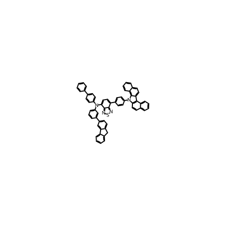 c1ccc(-c2ccc(N(c3cccc(-c4ccc5c(c4)-c4ccccc4C5)c3)c3ccc(-c4ccc(-n5c6ccc7ccccc7c6c6ccc7ccccc7c65)cc4)c4nsnc34)cc2)cc1